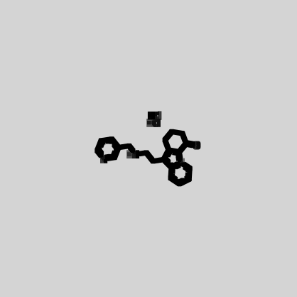 Cl.Cl.O=C1CCCc2c(CCNCc3cccnc3)c3ccccn3c21